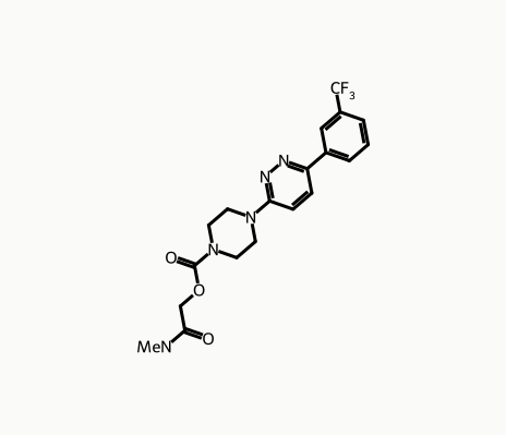 CNC(=O)COC(=O)N1CCN(c2ccc(-c3cccc(C(F)(F)F)c3)nn2)CC1